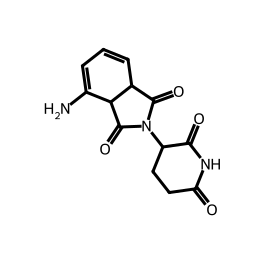 NC1=CC=CC2C(=O)N(C3CCC(=O)NC3=O)C(=O)C12